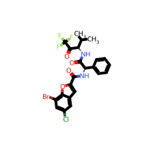 CC(C)[C@H](NC(=O)[C@@H](NC(=O)c1cc2cc(Cl)cc(Br)c2o1)c1ccccc1)C(=O)C(F)(F)F